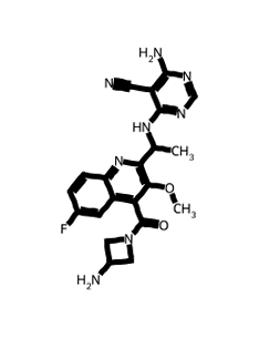 COc1c(C(C)Nc2ncnc(N)c2C#N)nc2ccc(F)cc2c1C(=O)N1CC(N)C1